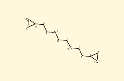 C(CSCCC1CS1)SCCC1CS1